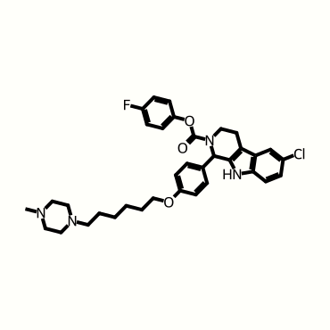 CN1CCN(CCCCCCOc2ccc(C3c4[nH]c5ccc(Cl)cc5c4CCN3C(=O)Oc3ccc(F)cc3)cc2)CC1